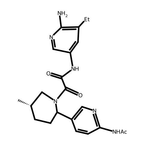 CCc1cc(NC(=O)C(=O)N2C[C@@H](C)CCC2c2ccc(NC(C)=O)nc2)cnc1N